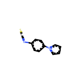 S=C=Nc1ccc(-n2cccc2)cc1